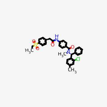 CCS(=O)(=O)c1ccc(CC(=O)Nc2ccc(C(=O)N(C)[C@H](c3ccccc3)c3ccc(C)cc3Cl)cc2)cc1